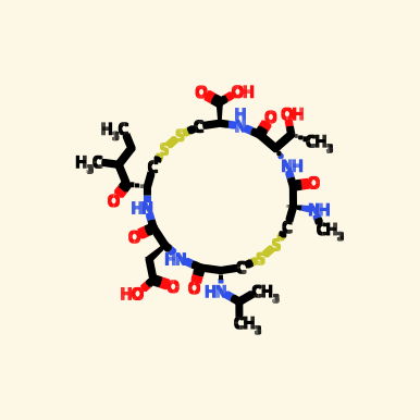 CCC(C)C(=O)[C@@H]1CSSC[C@@H](C(=O)O)NC(=O)[C@H]([C@@H](C)O)NC(=O)[C@@H](NC)CSSC[C@H](NC(C)C)C(=O)N[C@@H](CC(=O)O)C(=O)N1